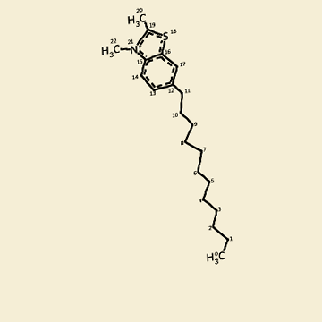 CCCCCCCCCCCCc1ccc2c(c1)sc(C)[n+]2C